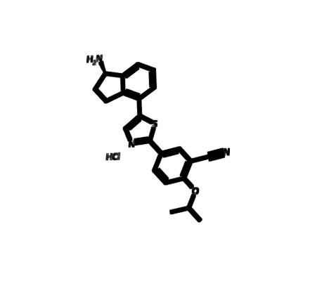 CC(C)Oc1ccc(-c2ncc(-c3cccc4c3CC[C@H]4N)s2)cc1C#N.Cl